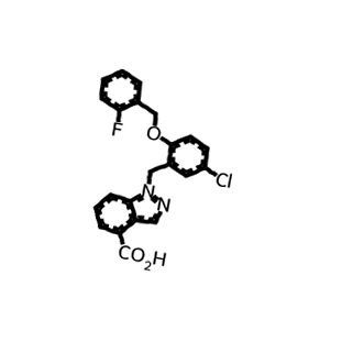 O=C(O)c1cccc2c1cnn2Cc1cc(Cl)ccc1OCc1ccccc1F